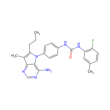 CCCc1c(C)c2ncnc(N)c2n1-c1ccc(NC(=O)Nc2cc(C)ccc2F)cc1